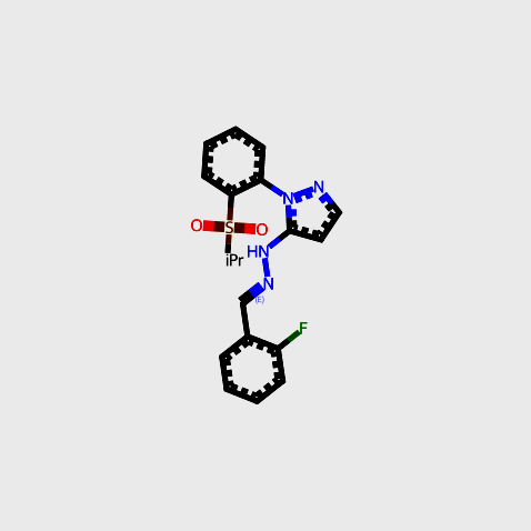 CC(C)S(=O)(=O)c1ccccc1-n1nccc1N/N=C/c1ccccc1F